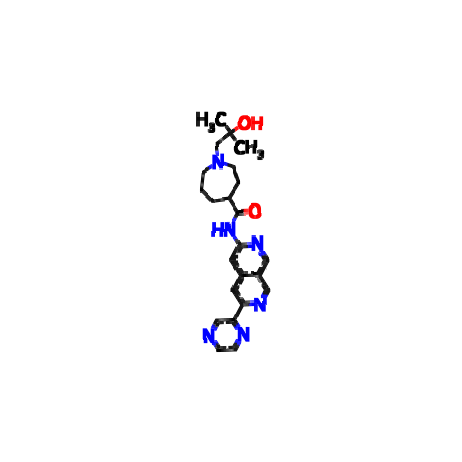 CC(C)(O)CN1CCCC(C(=O)Nc2cc3cc(-c4cnccn4)ncc3cn2)CC1